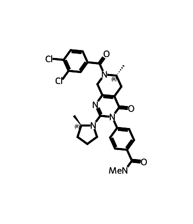 CNC(=O)c1ccc(-n2c(N3CCC[C@H]3C)nc3c(c2=O)C[C@@H](C)N(C(=O)c2ccc(Cl)c(Cl)c2)C3)cc1